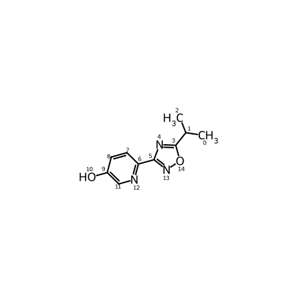 CC(C)c1nc(-c2ccc(O)cn2)no1